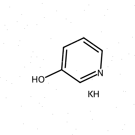 Oc1cccnc1.[KH]